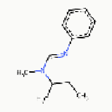 CCC(C)N(C)C=Nc1ccccc1